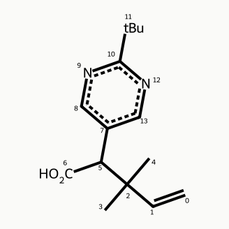 C=CC(C)(C)C(C(=O)O)c1cnc(C(C)(C)C)nc1